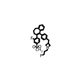 CS(=O)(=O)c1ccc(C2=C(c3ccc(CC4CN(CCCF)C4)cc3)c3ccccc3CCC2)c(F)c1